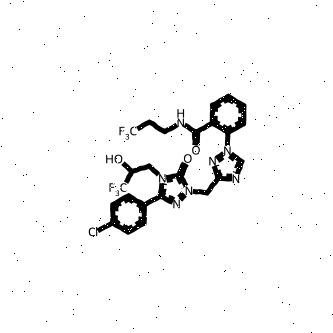 O=C(NCCC(F)(F)F)c1ccccc1-n1cnc(Cn2nc(-c3ccc(Cl)cc3)n(CC(O)C(F)(F)F)c2=O)n1